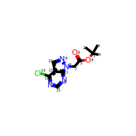 CC(C)(C)OC(=O)Cn1ncc2c(Cl)ncnc21